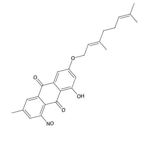 CC(C)=CCC/C(C)=C/COc1cc(O)c2c(c1)C(=O)c1cc(C)cc(N=O)c1C2=O